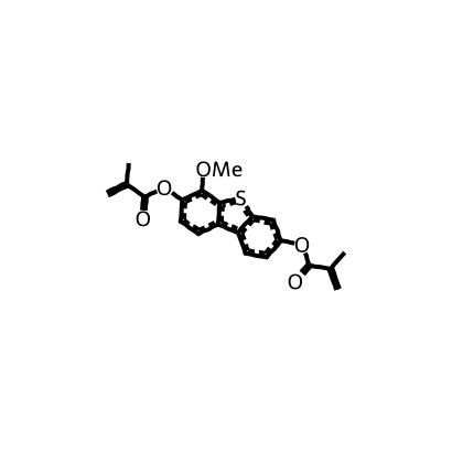 C=C(C)C(=O)Oc1ccc2c(c1)sc1c(OC)c(OC(=O)C(=C)C)ccc12